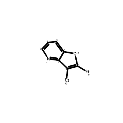 CCc1oc2cccnc2c1CC